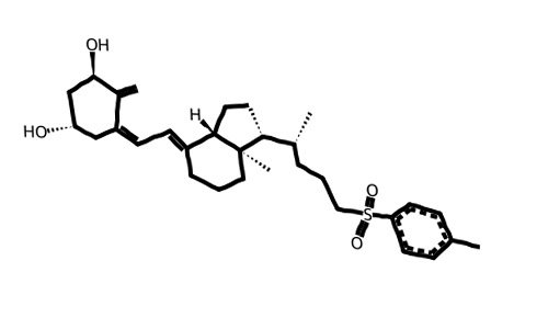 C=C1/C(=C\C=C2/CCC[C@]3(C)[C@@H]([C@H](C)CCCS(=O)(=O)c4ccc(C)cc4)CC[C@@H]23)C[C@H](O)C[C@H]1O